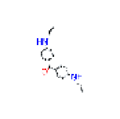 C=CCNc1ccc(C(=O)c2ccc(NCC=C)cc2)cc1